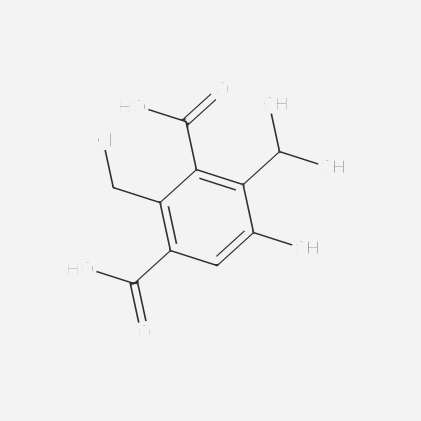 Cc1cc(C(=O)O)c(CCl)c(C(=O)O)c1C(C)C